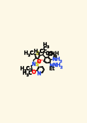 CCN(N)c1ccc(C(c2cc(CN3CC(C)(C)Oc4ncccc4[S+]3[O-])c(C)s2)C(C)(C)C(=O)O)c(C)c1N